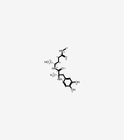 C[C@@](N)(Cc1ccc(O)c(O)c1)C(=O)N[C@@H](CCC(=O)NI)C(=O)O